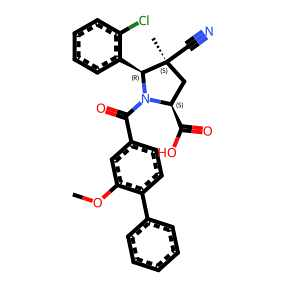 COc1cc(C(=O)N2[C@@H](c3ccccc3Cl)[C@@](C)(C#N)C[C@H]2C(=O)O)ccc1-c1ccccc1